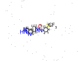 O=C(Nc1cccc(SC(F)(F)F)c1)N1CCc2c(cnc3[nH]ncc23)C1